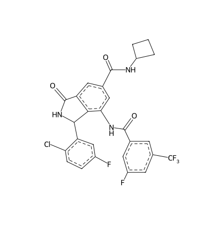 O=C(Nc1cc(C(=O)NC2CCC2)cc2c1C(c1cc(F)ccc1Cl)NC2=O)c1cc(F)cc(C(F)(F)F)c1